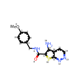 COc1ccc(CNC(=O)c2sc3nnccc3c2N)cc1